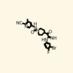 Cc1cc(NC(=O)N2CCC(C(=O)C(=N)Nc3ccc(F)c(Br)c3)CC2)cnc1C#N